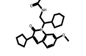 COc1ccc2cc(C3CCCC3)c(=O)n(C(CNC(C)=O)C3CCCCC3)c2c1